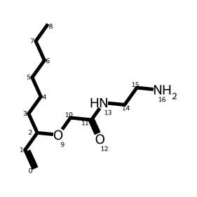 C=CC(CCCCCC)OCC(=O)NCCN